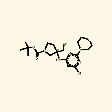 CC(C)(C)OC(=O)N1CC[C@](CO)(Nc2cc(Cl)nc(N3CCOCC3)n2)C1